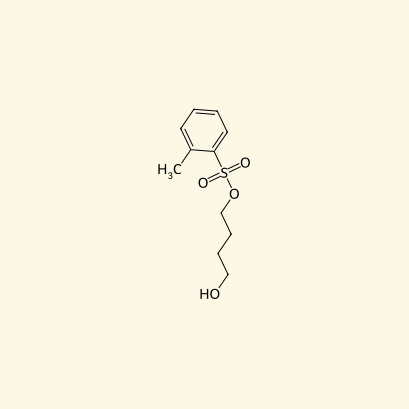 Cc1ccccc1S(=O)(=O)OCCCCO